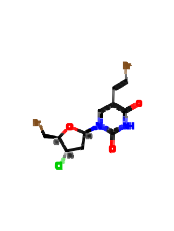 O=c1[nH]c(=O)n([C@H]2C[C@H](Cl)[C@@H](CBr)O2)cc1C=CBr